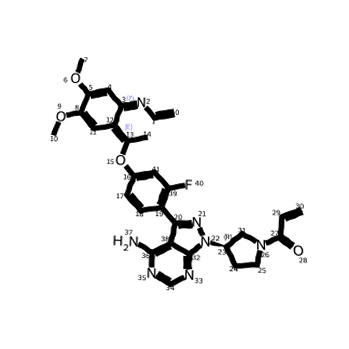 C=C/N=C1/C=C(OC)C(OC)=C/C1=C(/C)Oc1ccc(-c2nn([C@@H]3CCN(C(=O)C=C)C3)c3ncnc(N)c23)c(F)c1